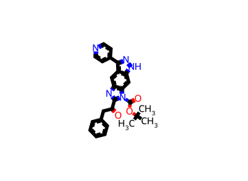 CC(C)(C)OC(=O)n1c(C(=O)Cc2ccccc2)nc2cc3c(-c4ccncc4)n[nH]c3cc21